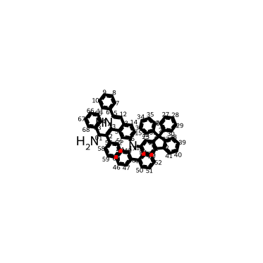 NC(/C(=C1\NC(c2ccccc2)=Cc2ccc(N(c3ccc4c(c3)C(c3ccccc3)(c3ccccc3)c3ccccc3-4)c3ccccc3-c3ccccc3)cc21)c1ccccc1)c1ccccc1